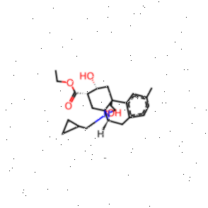 CCOC(=O)[C@H]1C[C@@]2(O)[C@H]3Cc4ccc(C)cc4[C@@]2(CCN3CC2CC2)C[C@H]1O